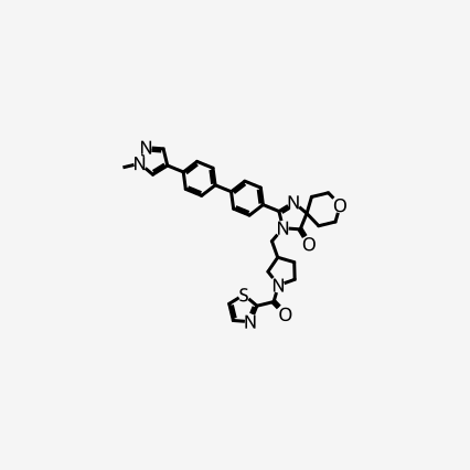 Cn1cc(-c2ccc(-c3ccc(C4=NC5(CCOCC5)C(=O)N4CC4CCN(C(=O)c5nccs5)C4)cc3)cc2)cn1